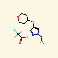 FC(F)(F)Cn1cc(NC2CCOCC2)cn1.O=C(O)C(F)(F)F